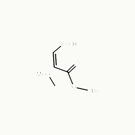 CCCCOC(=O)/C=C\C(=O)O.COC